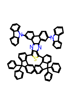 c1ccc(C2(c3ccccc3)c3ccccc3-c3c(-c4sc(-c5cccc6c5-c5ccccc5C6(c5ccccc5)c5ccccc5)c5nc6c7cc(-n8c9ccccc9c9ccccc98)ccc7c7ccc(-n8c9ccccc9c9ccccc98)cc7c6nc45)cccc32)cc1